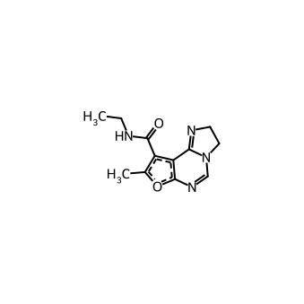 CCNC(=O)c1c(C)oc2c1C1=NCCN1C=N2